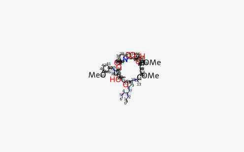 C=C/C=C(\C=C/C)/C=C/C[C@@H]1/C=C(\C)C[C@H](OC)CC[C@H]2O[C@@](O)(C(=O)C(=O)N3CCCC[C@H]3C(=O)O[C@H](/C(C)=C/[C@@H]3CCC[C@H](OC)C3)[C@H](C)[C@@H](O)CC1=O)[C@H](C)C[C@@H]2OC